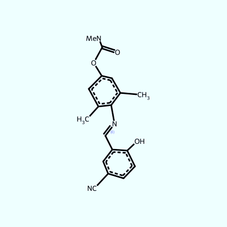 CNC(=O)Oc1cc(C)c(/N=C/c2cc(C#N)ccc2O)c(C)c1